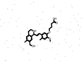 COc1cc(C)c(/C=C/C2NCCc3cc(C)c(CO)cc32)cc1OCCCC(=O)O